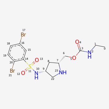 CCNC(=O)OC[C@H]1C[C@@H](NS(=O)(=O)c2cc(Br)ccc2Br)CN1